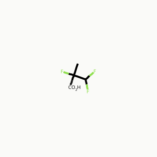 CC(F)(C(=O)O)C(F)F